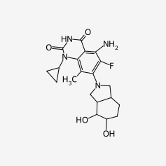 Cc1c(N2CC3CCC(O)C(O)C3C2)c(F)c(N)c2c(=O)[nH]c(=O)n(C3CC3)c12